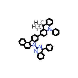 CC1(C)C2=CC(c3ccc4c5c6ccccc6ccc5n(-c5nc(-c6ccccc6)c6ccccc6n5)c4c3)=CCC2N(c2ccccc2)c2ccccc21